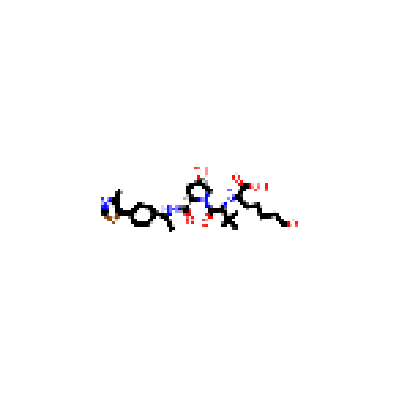 Cc1ncsc1-c1ccc(C(C)NC(=O)[C@@H]2C[C@@H](O)CN2C(=O)C(NC(CCCCC=O)C(=O)O)C(C)(C)C)cc1